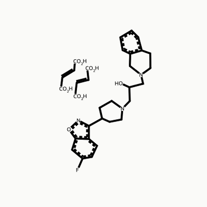 O=C(O)C=CC(=O)O.O=C(O)C=CC(=O)O.OC(CN1CCC(c2noc3cc(F)ccc23)CC1)CN1CCc2ccccc2C1